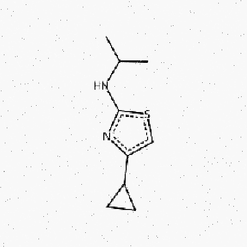 CC(C)Nc1nc(C2CC2)cs1